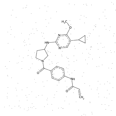 C=CC(=O)Nc1ccc(C(=O)N2CCC(Nc3ncc(C4CC4)c(OC)n3)C2)cc1